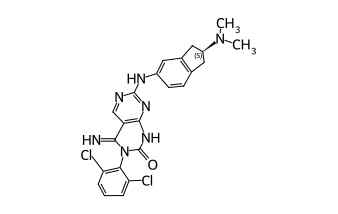 CN(C)[C@H]1Cc2ccc(Nc3ncc4c(=N)n(-c5c(Cl)cccc5Cl)c(=O)[nH]c4n3)cc2C1